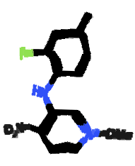 CO[n+]1ccc([N+](=O)[O-])c(Nc2ccc(C)cc2F)c1